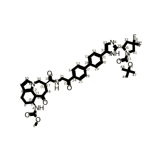 COC(=O)N[C@H]1CCc2ccn3c2C1C(=O)C[C@H](C(=O)NCC(=O)c1ccc(-c2ccc(-c4cnc([C@@H]5CC(F)(F)CN5C(=O)OC(C)(C)C)[nH]4)cc2)cc1)C3